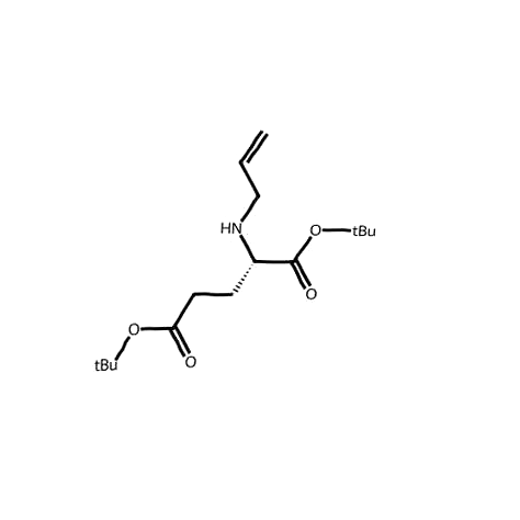 C=CCN[C@@H](CCC(=O)OC(C)(C)C)C(=O)OC(C)(C)C